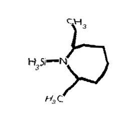 CC1CCCC(C)N1[SiH3]